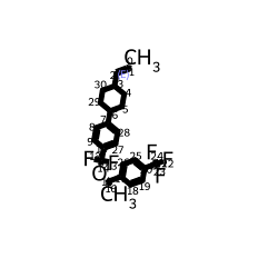 C/C=C/C1CCC(c2ccc(C(F)(F)OC(C)c3ccc(C(F)(F)F)cc3)cc2)CC1